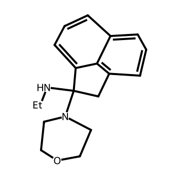 CCNC1(N2CCOCC2)Cc2cccc3cccc1c23